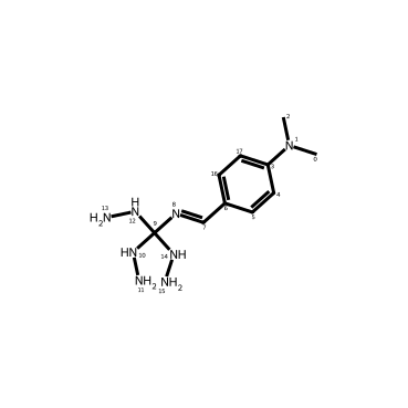 CN(C)c1ccc(/C=N/C(NN)(NN)NN)cc1